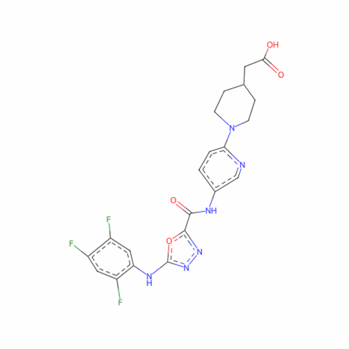 O=C(O)CC1CCN(c2ccc(NC(=O)c3nnc(Nc4cc(F)c(F)cc4F)o3)cn2)CC1